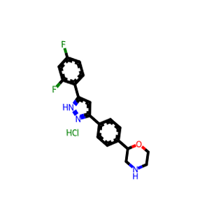 Cl.Fc1ccc(-c2cc(-c3ccc(C4CNCCO4)cc3)n[nH]2)c(F)c1